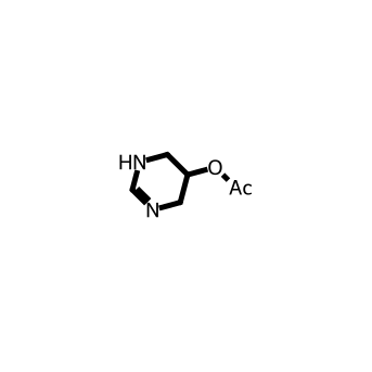 CC(=O)OC1CN=CNC1